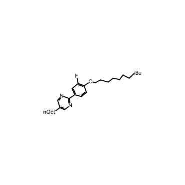 CCCCCCCCc1cnc(-c2ccc(OCCCCCCCC(C)CC)c(F)c2)nc1